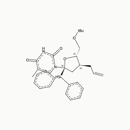 C=CC[C@H]1C[C@@](n2cc(C)c(=O)[nH]c2=O)([SiH](c2ccccc2)c2ccccc2)O[C@@H]1COC(C)(C)C